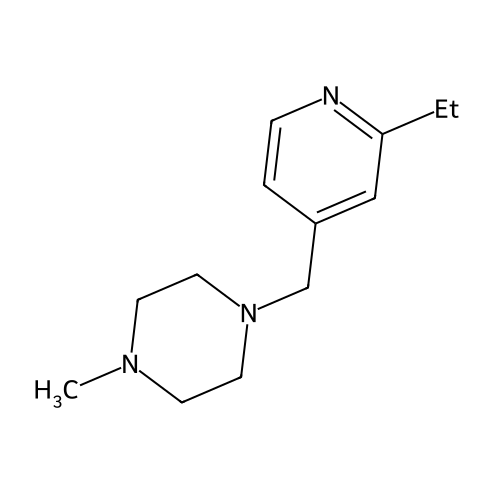 CCc1cc(CN2CCN(C)CC2)ccn1